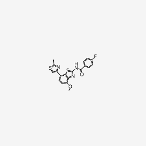 COc1ccc(-c2csc(C)n2)c2sc(NC(=O)c3ccc(F)cc3)nc12